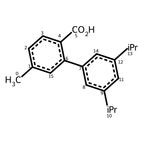 Cc1ccc(C(=O)O)c(-c2cc(C(C)C)cc(C(C)C)c2)c1